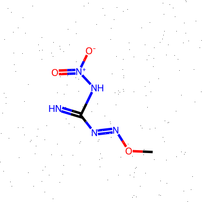 CON=NC(=N)N[N+](=O)[O-]